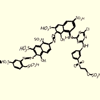 O=S(=O)(O)OCCS(=O)(=O)c1cccc(Nc2nc(Cl)nc(Nc3cc(S(=O)(=O)O)cc4cc(S(=O)(=O)O)c(N=Nc5ccc6c(O)c(N=Nc7cc(S(=O)(=O)O)ccc7S(=O)(=O)O)c(S(=O)(=O)O)cc6c5S(=O)(=O)O)c(O)c34)n2)c1